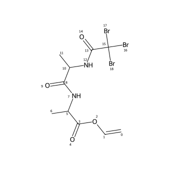 C=COC(=O)C(C)NC(=O)C(C)NC(=O)C(Br)(Br)Br